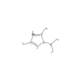 CC1=CC(C(C)C)C(C)=N1